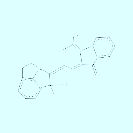 CC1(C)/C(=C\C=C2\C(=O)c3ccccc3C2=C(C#N)C#N)N2CCc3cccc1c32